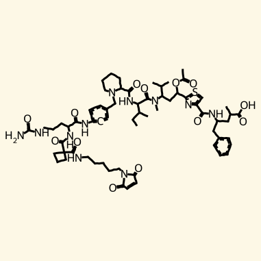 CCC(C)C(NC(=O)C1CCCCN1Cc1ccc(NC(=O)C(CCCNC(N)=O)NC(=O)C2(C(=O)NCCCCCN3C(=O)C=CC3=O)CCC2)cc1)C(=O)N(C)C(CC(OC(C)=O)c1nc(C(=O)NC(Cc2ccccc2)CC(C)C(=O)O)cs1)C(C)C